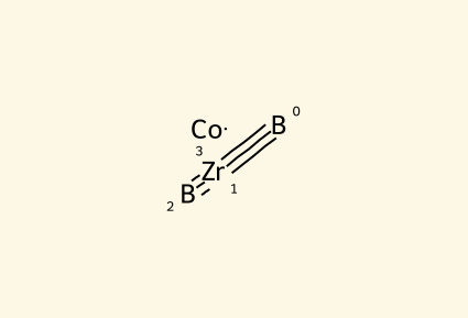 [B]#[Zr]#[B].[Co]